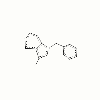 CC(C)c1cn(Cc2ccccc2)c2ccncc12